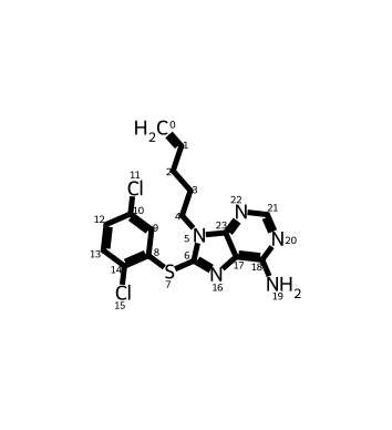 C=CCCCn1c(Sc2cc(Cl)ccc2Cl)nc2c(N)ncnc21